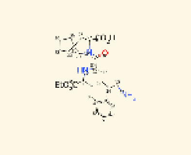 CCOC(=O)C(CCc1ccccc1)N[C@@H](CCCCN)C(=O)N1CC2(CCCC2)CC1C(=O)O